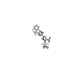 Cc1ccccc1C1(c2noc(-c3cc(C(F)F)n(C4CS(=O)(=O)C4)n3)n2)CC1